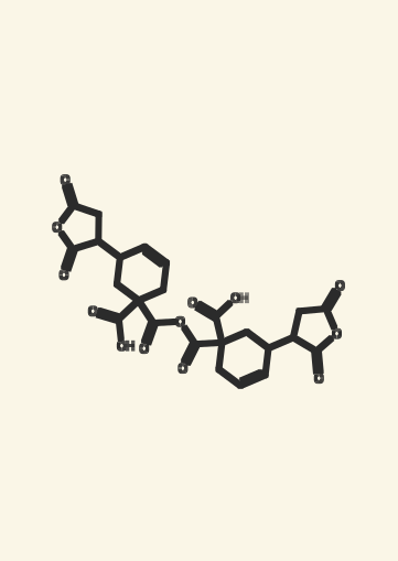 O=C1CC(C2C=CCC(C(=O)O)(C(=O)OC(=O)C3(C(=O)O)CC=CC(C4CC(=O)OC4=O)C3)C2)C(=O)O1